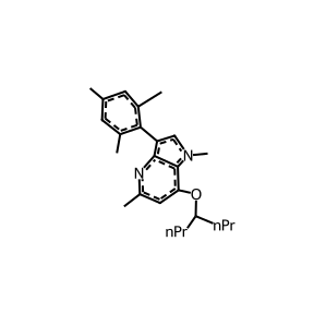 CCCC(CCC)Oc1cc(C)nc2c(-c3c(C)cc(C)cc3C)cn(C)c12